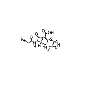 Cn1nnnc1SC1=C(C(=O)O)N2C(=O)[C@@H](NC(=O)CC#N)[C@H]2SC1